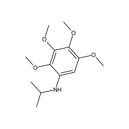 COc1cc(NC(C)C)c(OC)c(OC)c1OC